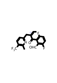 C/C=C(/Cc1ccc(C(F)(F)F)c(C)n1)C(=O)c1c(F)ccc(F)c1C=O